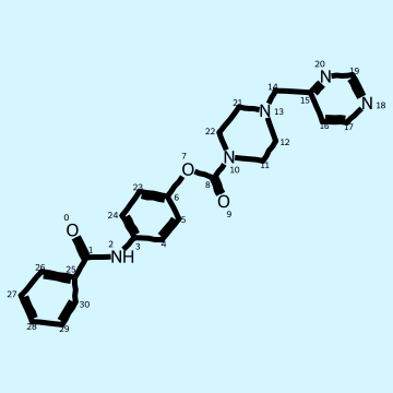 O=C(Nc1ccc(OC(=O)N2CCN(Cc3ccncn3)CC2)cc1)c1ccccc1